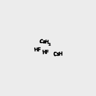 F.F.[CaH2].[CsH]